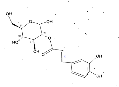 O=C(/C=C/c1ccc(O)c(O)c1)O[C@H]1C(O)O[C@H](CO)[C@@H](O)[C@@H]1O